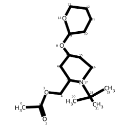 CC(=O)OCC1CC(OC2CCCCO2)CCN1C(C)(C)C